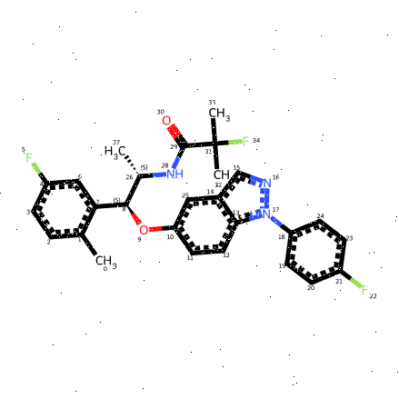 Cc1ccc(F)cc1[C@H](Oc1ccc2c(cnn2-c2ccc(F)cc2)c1)[C@H](C)NC(=O)C(C)(C)F